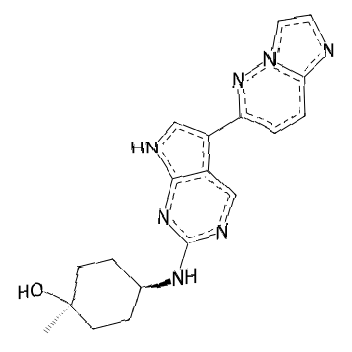 C[C@]1(O)CC[C@@H](Nc2ncc3c(-c4ccc5nccn5n4)c[nH]c3n2)CC1